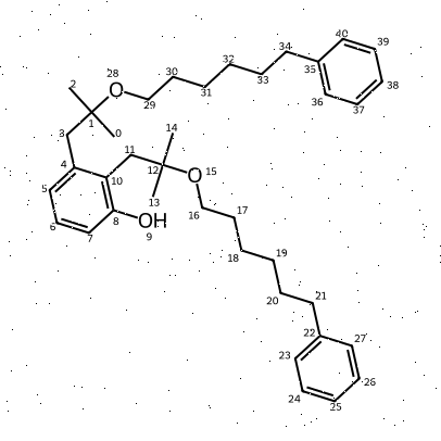 CC(C)(Cc1cccc(O)c1CC(C)(C)OCCCCCCc1ccccc1)OCCCCCCc1ccccc1